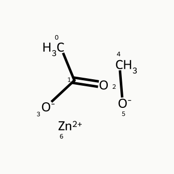 CC(=O)[O-].C[O-].[Zn+2]